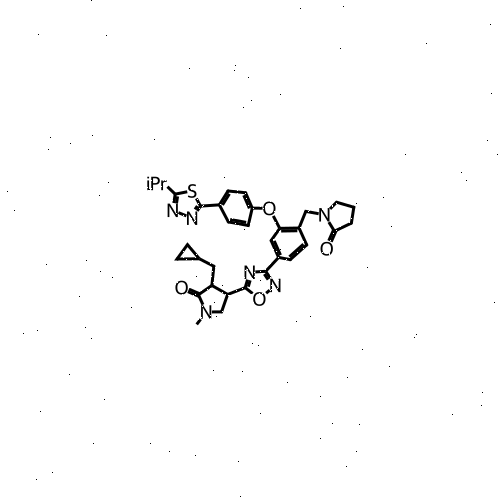 CC(C)c1nnc(-c2ccc(Oc3cc(-c4noc(C5CN(C)C(=O)C5CC5CC5)n4)ccc3CN3CCCC3=O)cc2)s1